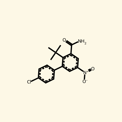 CC(C)(C)c1c(C(N)=O)cc([N+](=O)[O-])cc1-c1ccc(Cl)cc1